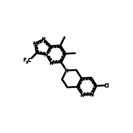 Cc1c(N2CCc3nnc(Cl)cc3C2)nn2c(C(F)(F)F)nnc2c1C